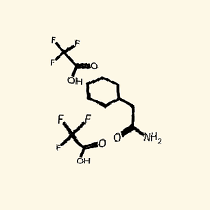 NC(=O)CC1CCCCC1.O=C(O)C(F)(F)F.O=C(O)C(F)(F)F